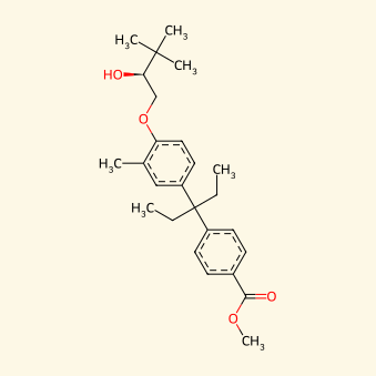 CCC(CC)(c1ccc(C(=O)OC)cc1)c1ccc(OC[C@@H](O)C(C)(C)C)c(C)c1